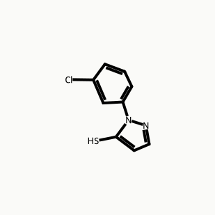 Sc1ccnn1-c1cccc(Cl)c1